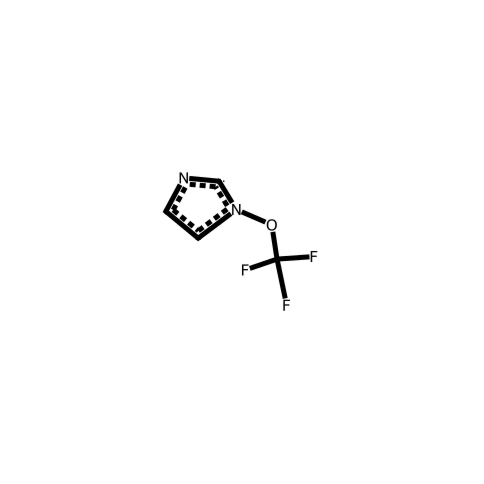 FC(F)(F)On1[c]ncc1